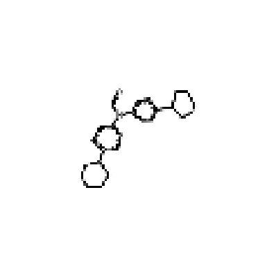 O=[C]N(c1ccc(C2CCCCC2)cc1)c1ccc(C2CCCCC2)cc1